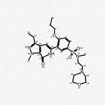 CCCOc1ccc(S(=O)(=O)N(C)CCN2CCOCC2)cc1-c1cc2c(CC)nn(C)c2c(=O)[nH]1